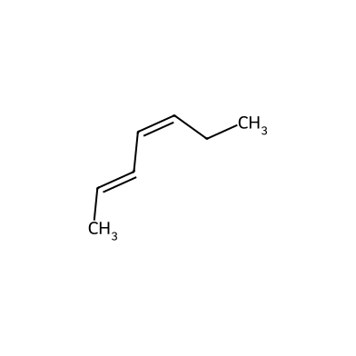 C/C=C/C=C\CC